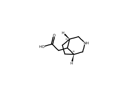 O=C(O)CC1[C@@H]2CC[C@H]1CNC2